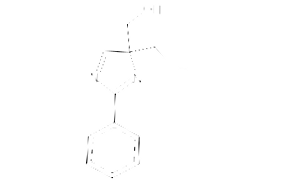 OCC1(CO)C=NC(c2ccccc2)=N1